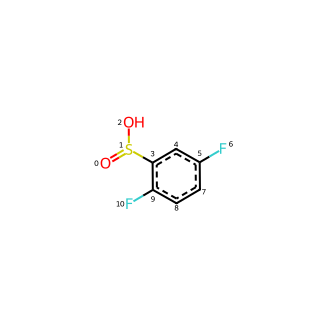 O=S(O)c1cc(F)ccc1F